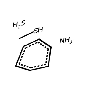 CS.N.S.c1ccccc1